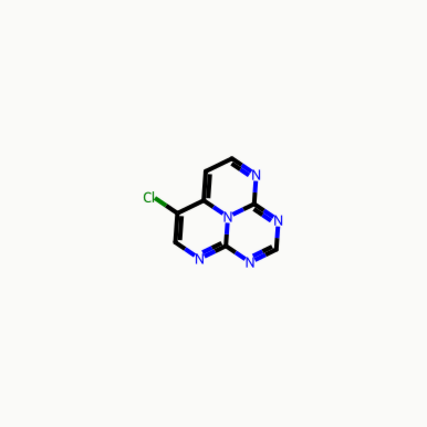 ClC1=CN=C2N=CN=C3N=CC=C1N32